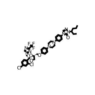 CCCC(CC)n1ncn(-c2ccc(N3CCN(c4ccc(OC[C@@H]5CO[C@@](Cn6cnc(C(F)(F)F)n6)(c6ccc(Cl)cc6Cl)O5)cc4)CC3)cc2)c1=O